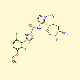 CCOc1ccc(F)c(-c2nc(C(O)Nc3cnn(C)c3[C@@H]3CC[C@@H](N)[C@H](F)CO3)cs2)c1F